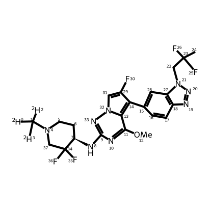 [2H]C([2H])([2H])N1CC[C@@H](Nc2nc(OC)c3c(-c4ccc5nnn(CC(C)(F)F)c5c4)c(F)cn3n2)C(F)(F)C1